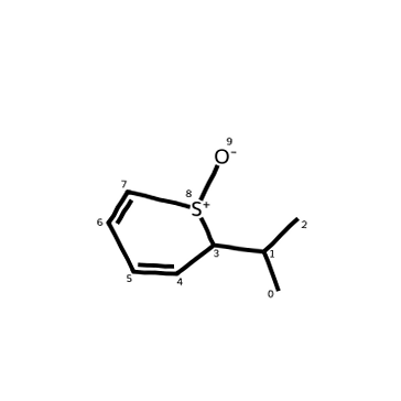 CC(C)C1C=CC=C[S+]1[O-]